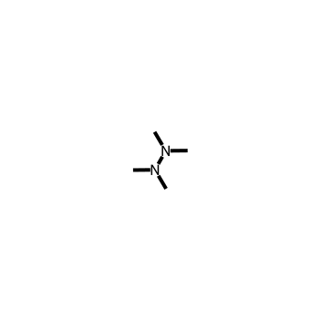 CN(C)N(C)C